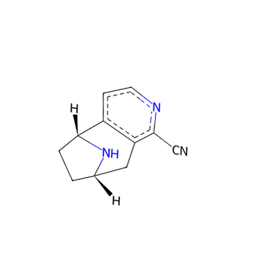 N#Cc1nccc2c1C[C@@H]1CC[C@H]2N1